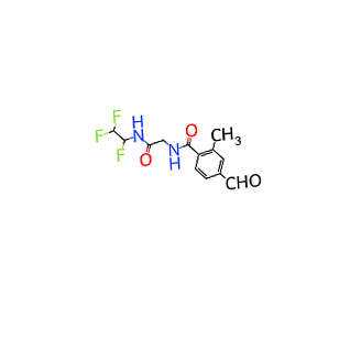 Cc1cc(C=O)ccc1C(=O)NCC(=O)NC(F)C(F)F